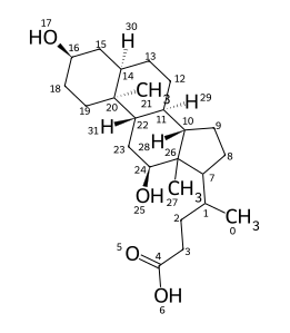 CC(CCC(=O)O)C1CC[C@H]2[C@@H]3CC[C@@H]4C[C@H](O)CC[C@]4(C)[C@H]3C[C@H](O)C12C